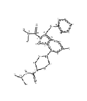 Cc1cc(N2CCN(C(=O)OC(C)C)CC2)c2oc(C(=O)N(C)C)c(Cc3ccccc3)c2c1